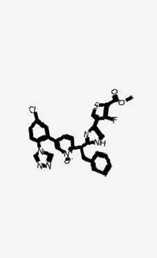 COC(=O)c1scc(-c2c[nH]c(C(Cc3ccccc3)c3ccc(-c4cc(Cl)ccc4-n4cnnc4)c[n+]3[O-])n2)c1F